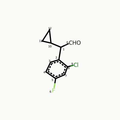 O=CC(c1ccc(F)cc1Cl)C1CC1